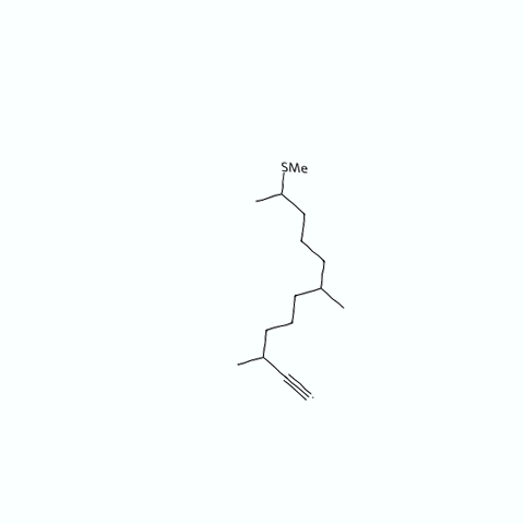 [C]#CC(C)CCCC(C)CCCC(C)SC